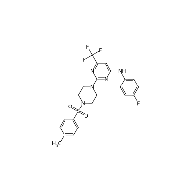 Cc1ccc(S(=O)(=O)N2CCN(c3nc(Nc4ccc(F)cc4)cc(C(F)(F)F)n3)CC2)cc1